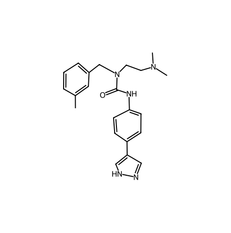 Cc1cccc(CN(CCN(C)C)C(=O)Nc2ccc(-c3cn[nH]c3)cc2)c1